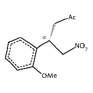 COc1ccccc1[C@H](CC(C)=O)C[N+](=O)[O-]